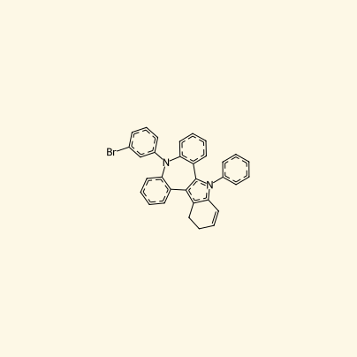 Brc1cccc(N2c3ccccc3-c3c4c(n(-c5ccccc5)c3-c3ccccc32)C=CCC4)c1